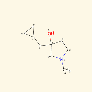 CN1CCC(O)(CC2CC2)C1